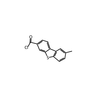 Cc1ccc2sc3cc(C(=O)Cl)ccc3c2c1